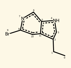 CCc1c[nH]c2cnc(Br)cc12